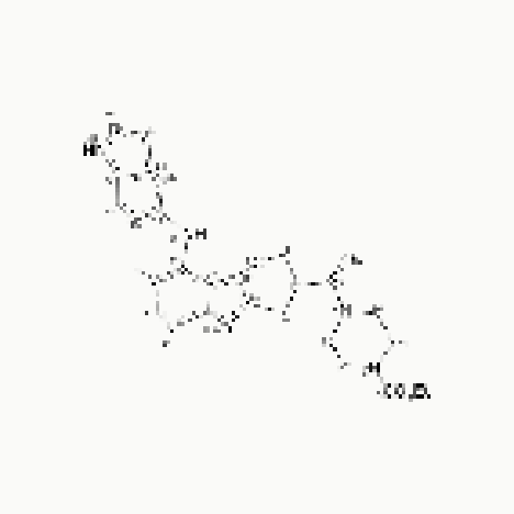 CCOC(=O)N1CCN(C(=O)C2CCc3c(sc4ncnc(Nc5ccc6[nH]ncc6c5)c34)C2)CC1